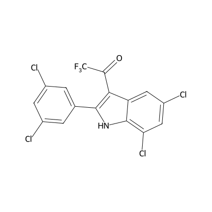 O=C(c1c(-c2cc(Cl)cc(Cl)c2)[nH]c2c(Cl)cc(Cl)cc12)C(F)(F)F